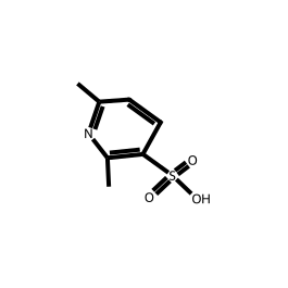 Cc1ccc(S(=O)(=O)O)c(C)n1